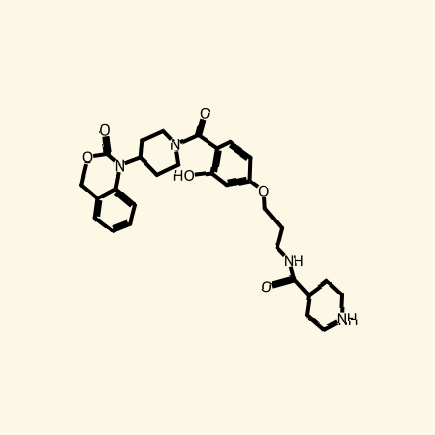 O=C(NCCCOc1ccc(C(=O)N2CCC(N3C(=O)OCc4ccccc43)CC2)c(O)c1)C1CCNCC1